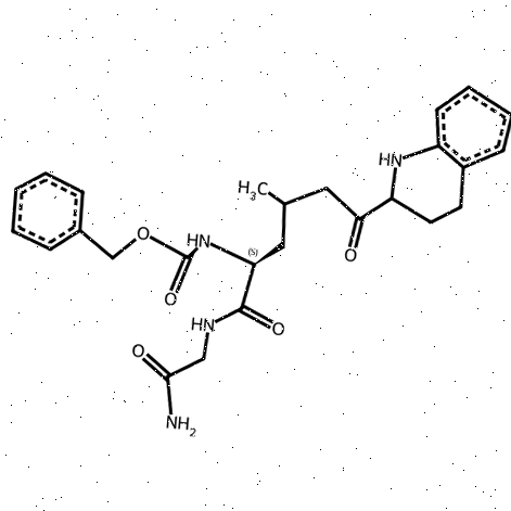 CC(CC(=O)C1CCc2ccccc2N1)C[C@H](NC(=O)OCc1ccccc1)C(=O)NCC(N)=O